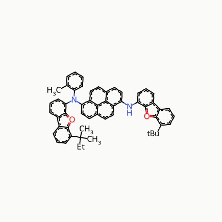 CCC(C)(C)c1cccc2c1oc1c(N(c3ccccc3C)c3ccc4ccc5c(Nc6cccc7c6oc6c(C(C)(C)C)cccc67)ccc6ccc3c4c65)cccc12